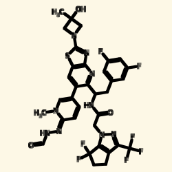 Cn1cc(-c2cc3sc(N4CC(C)(O)C4)nc3nc2C(Cc2cc(F)cc(F)c2)NC(=O)Cn2nc(C(F)(F)F)c3c2C(F)(F)CC3)cc/c1=N/NC=O